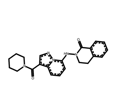 O=C(c1cnn2c(NN3CCc4ccccc4C3=O)cccc12)N1CCCCC1